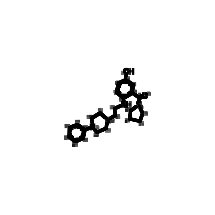 O=C(c1cc(O)ccc1NCCN1CCN(c2ccccc2)CC1)N1CCCC1